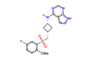 COc1ccc(F)cc1S(=O)(=O)C[C@H]1C[C@@H](N(C)c2ncnc3[nH]ccc23)C1